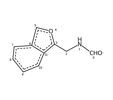 O=[C]NCc1occ2ccccc12